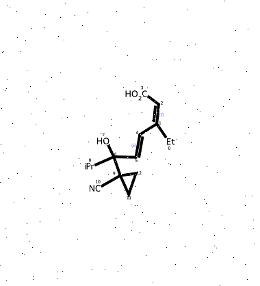 CCC(=C/C(=O)O)/C=C/C(O)(C(C)C)C1(C#N)CC1